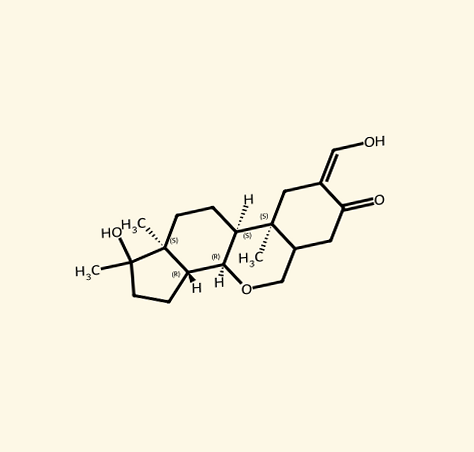 CC1(O)CC[C@H]2[C@@H]3OCC4CC(=O)C(=CO)C[C@]4(C)[C@@H]3CC[C@@]21C